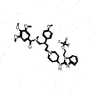 COc1ccc(C(CCN2CCC(Nc3nc4ccccc4n3CCOC(F)(F)F)CC2)CN(C)C(=O)c2cc(OC)c(OC)c(OC)c2)cc1